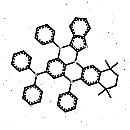 CC1(C)CCC(C)(C)c2cc3c(cc21)B1c2oc4ccccc4c2N(c2ccccc2)c2cc(N(c4ccccc4)c4ccccc4)cc(c21)N3c1ccccc1